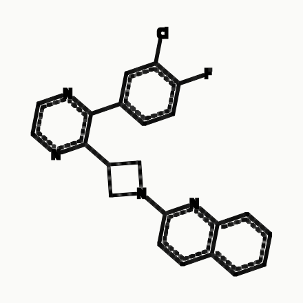 Fc1ccc(-c2nccnc2C2CN(c3ccc4ccccc4n3)C2)cc1Cl